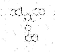 C1=CC2=C(C=C(c3nc(-c4ccc(-c5cccc6cccnc56)cc4)nc(-c4ccc5ccccc5c4)n3)C3=CC32)CC1